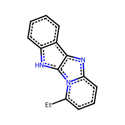 CCc1cccc2nc3c4ccccc4[nH]c3n12